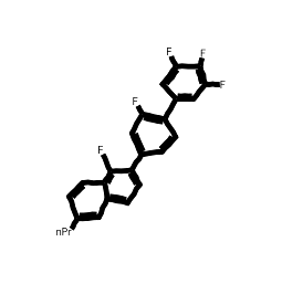 CCCc1ccc2c(F)c(-c3ccc(-c4cc(F)c(F)c(F)c4)c(F)c3)ccc2c1